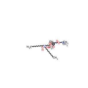 CCCCCCCCCCC(O)CN(CCCCC(=O)Oc1c(OC)cc(/C=C/C(=O)OCCCN(C)C)cc1OC)CC(O)CCCCCCCCCC